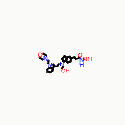 O=C(C=Cc1ccc2c(c1)CCC2N(CCO)CCc1cn(CCN2CCOCC2)c2ccccc12)NO